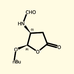 CCCCO[C@@H]1OC(=O)C[C@@H]1NC=O